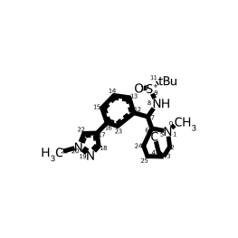 CN1CC2CCC1(C(N[S+]([O-])C(C)(C)C)c1cccc(-c3cnn(C)c3)c1)CC2